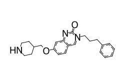 O=c1nc2cc(OCC3CCNCC3)ccc2cn1CCCc1ccccc1